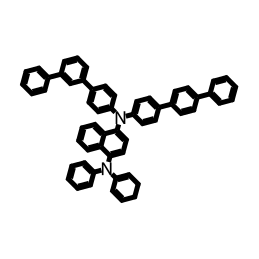 C1=CC(N(c2ccccc2)c2ccc(N(c3ccc(-c4ccc(-c5ccccc5)cc4)cc3)c3ccc(-c4cccc(-c5ccccc5)c4)cc3)c3ccccc23)=CCC1